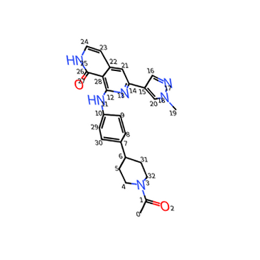 CC(=O)N1CCC(c2ccc(Nc3nc(-c4cnn(C)c4)cc4cc[nH]c(=O)c34)cc2)CC1